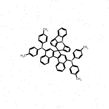 Cc1ccc(N(c2ccc(C)cc2)c2cc3c(c4ccccc24)-c2c(cc(N(c4ccc(C)cc4)c4ccc(C)cc4)c4ccccc24)C32c3ccccc3-n3c4ccccc4c4cccc2c43)cc1